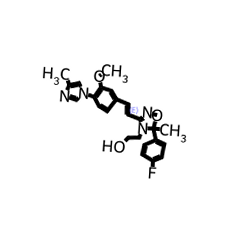 COc1cc(/C=C/C2=NOC(C)(c3ccc(F)cc3)N2CCO)ccc1-n1cnc(C)c1